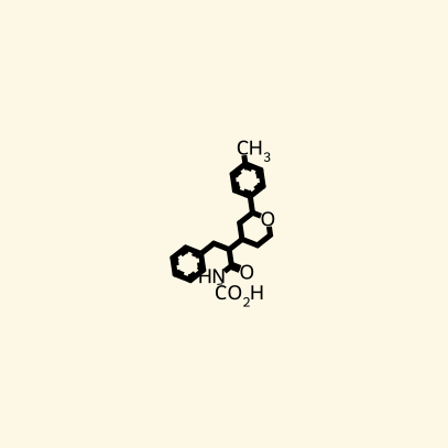 Cc1ccc(C2CC(C(Cc3ccccc3)C(=O)NC(=O)O)CCO2)cc1